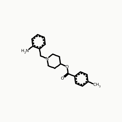 Cc1ccc(C(=O)OC2CCN(Cc3ccccc3N)CC2)cc1